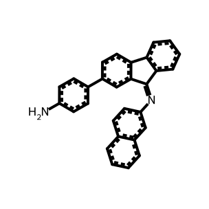 Nc1ccc(-c2ccc3c(c2)C(=Nc2ccc4ccccc4c2)c2ccccc2-3)cc1